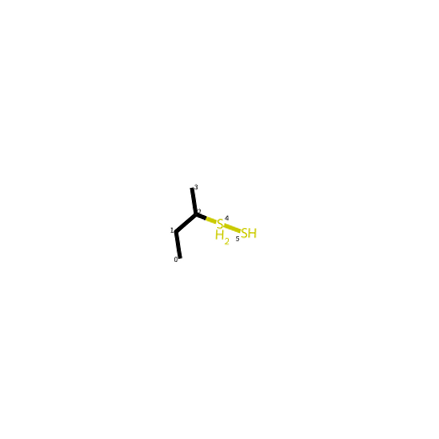 CCC(C)[SH2]S